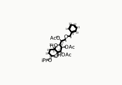 CC(=O)O[C@@H]1[C@H](OC(C)=O)[C@H]([C@H](COCc2ccccc2)OC(C)=O)O[C@H]2CC[C@@H](OC(C)C)O[C@H]12